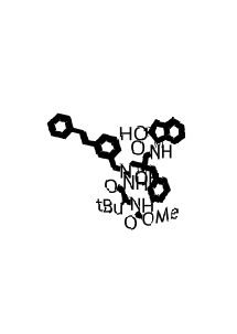 COC(=O)N[C@H](C(=O)NN(Cc1cccc(C=Cc2ccccc2)c1)C[C@@](O)(Cc1ccccc1)C(=O)N[C@H]1c2ccccc2C[C@H]1O)C(C)(C)C